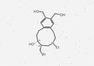 CCN1CCc2cc(CO)c(CO)cc2CC[C@@H](O)[C@H](CC(C)C)C1